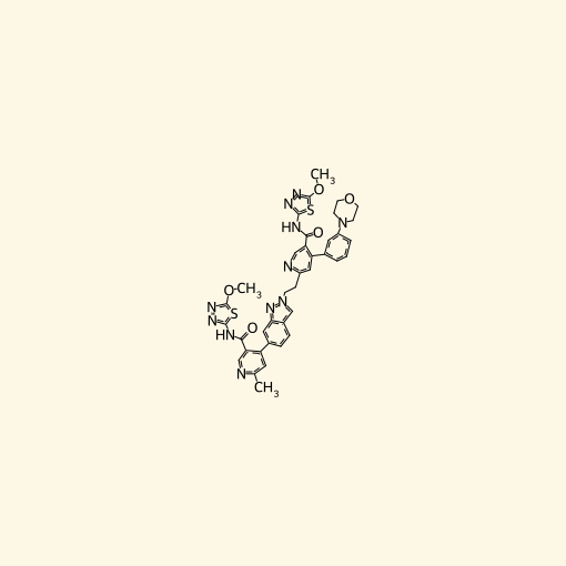 COc1nnc(NC(=O)c2cnc(C)cc2-c2ccc3cn(CCc4cc(-c5cccc(N6CCOCC6)c5)c(C(=O)Nc5nnc(OC)s5)cn4)nc3c2)s1